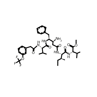 CC[C@H](C)[C@H](NC(=O)C[C@H](N)[C@H](Cc1ccccc1)NC(=O)[C@@H](NC(=O)Cc1cccc(OC(F)(F)F)c1)C(C)C)C(=O)N[C@H](C(=O)OC)C(C)C